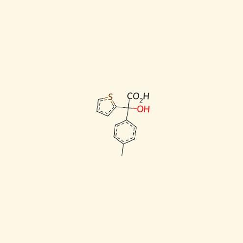 Cc1ccc(C(O)(C(=O)O)c2cccs2)cc1